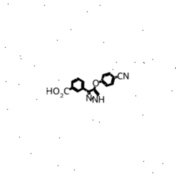 N#Cc1ccc(Oc2c[nH]nc2-c2cccc(C(=O)O)c2)cc1